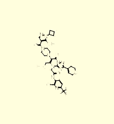 CCc1c(N2CCN(C(=O)c3cnn(C4CCC4)c3O)CC2)c(=O)n2nc(C3=CCOCC3)nc2n1CC(=O)Nc1ccc(C(F)(F)F)nc1Cl